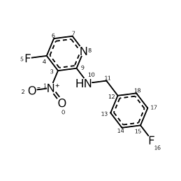 O=[N+]([O-])c1c(F)ccnc1NCc1ccc(F)cc1